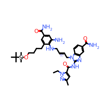 CCn1nc(C)cc1C(=O)Nc1nc2cc(C(N)=O)ccc2n1C/C=C/CNc1c(N)cc(C(N)=O)cc1CCCCO[Si](C)(C)C(C)(C)C